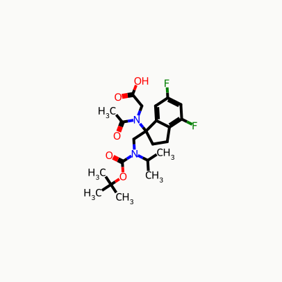 CC(=O)N(CC(=O)O)C1(CN(C(=O)OC(C)(C)C)C(C)C)CCc2c(F)cc(F)cc21